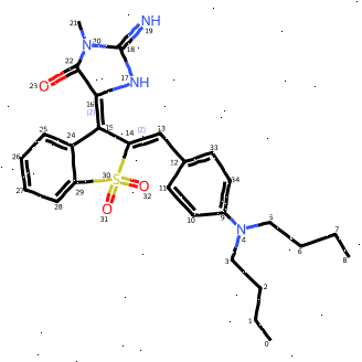 CCCCN(CCCC)c1ccc(/C=C2/C(=C3\NC(=N)N(C)C3=O)c3ccccc3S2(=O)=O)cc1